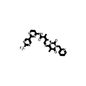 CC(/C=N\c1c(C)c(=O)n(Cc2ccccn2)c(=O)n1C)=C(\C)C(=O)Nc1ccnc(-c2cnc(C(F)(F)F)nc2)n1